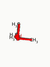 CCCCCCCCCCCCCCCCCCc1ccccc1C(=O)C(CC)(CC(CC)CCCCCCCCCCCCCCCC)C(=O)O